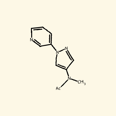 CC(=O)N(C)c1cnn(-c2cccnc2)c1